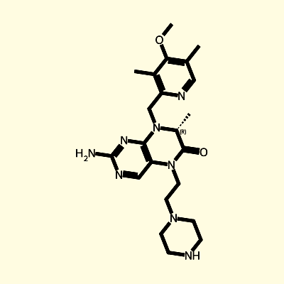 COc1c(C)cnc(CN2c3nc(N)ncc3N(CCN3CCNCC3)C(=O)[C@H]2C)c1C